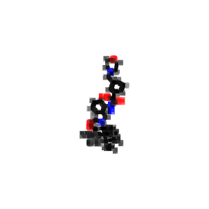 BC(B)(C=O)C(B)(B)C(B)(C(=O)NC)N1Cc2c(NC(O)(O)c3cccc(CN4CCOCC4)c3)cccc2C1=O